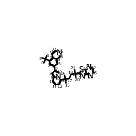 CC(C)(C)c1cc(-c2cc3cccc(C(C)(C)CCC(C)(C)c4nc5nccnc5s4)n3c2)cc2cnccc12